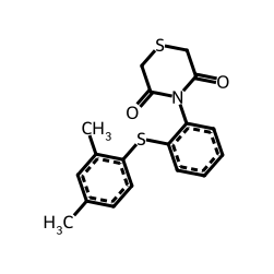 Cc1ccc(Sc2ccccc2N2C(=O)CSCC2=O)c(C)c1